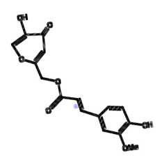 COc1cc(/C=C/C(=O)OCc2cc(=O)c(O)co2)ccc1O